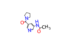 CC(=O)Nc1cncc(C(=O)N2CCCC2)c1